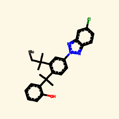 CC(C)(C)CC(C)(C)c1cc(-n2nc3ccc(Cl)cc3n2)ccc1C(C)(C)c1ccccc1O